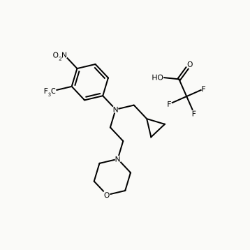 O=C(O)C(F)(F)F.O=[N+]([O-])c1ccc(N(CCN2CCOCC2)CC2CC2)cc1C(F)(F)F